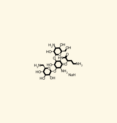 NCC[C@H](O)C(=O)N[C@@H]1C[C@H](N)[C@@H](O[C@H]2O[C@H](CN)[C@@H](O)[C@H](O)[C@H]2O)[C@H](O)[C@H]1O[C@H]1O[C@H](CO)[C@@H](O)[C@H](N)[C@H]1O.[NaH]